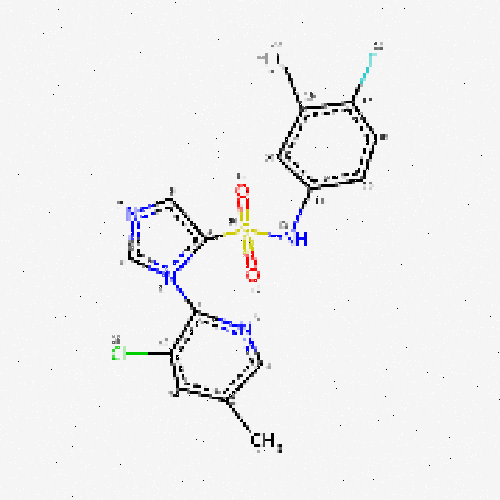 Cc1cnc(-n2cncc2S(=O)(=O)Nc2ccc(F)c(C)c2)c(Cl)c1